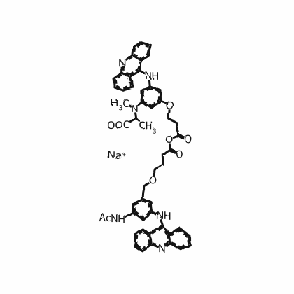 CC(=O)Nc1cc(COCCCC(=O)OC(=O)CCOc2cc(Nc3c4ccccc4nc4ccccc34)cc(N(C)C(C)C(=O)[O-])c2)cc(Nc2c3ccccc3nc3ccccc23)c1.[Na+]